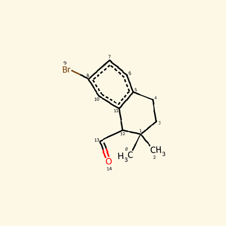 CC1(C)CCc2ccc(Br)cc2C1C=O